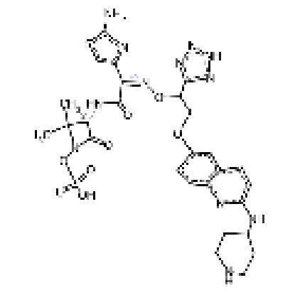 CC1(C)[C@H](NC(=O)/C(=N\OC(COc2ccc3nc(NC4CCNCC4)ccc3c2)c2nn[nH]n2)c2csc(N)n2)C(=O)N1OS(=O)(=O)O